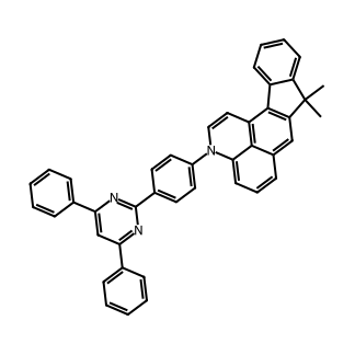 CC1(C)c2ccccc2-c2c1cc1cccc3c1c2C=CN3c1ccc(-c2nc(-c3ccccc3)cc(-c3ccccc3)n2)cc1